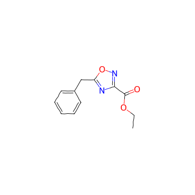 CCOC(=O)c1noc(Cc2ccccc2)n1